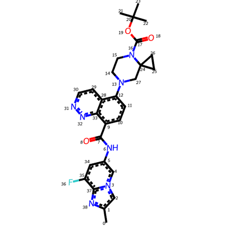 Cc1cn2cc(NC(=O)c3ccc(N4CCN(C(=O)OC(C)(C)C)C5(CC5)C4)c4ccnnc34)cc(F)c2n1